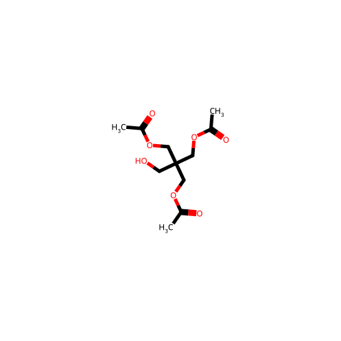 CC(=O)OCC(CO)(COC(C)=O)COC(C)=O